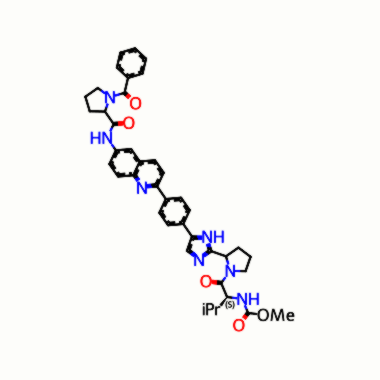 COC(=O)N[C@H](C(=O)N1CCCC1c1ncc(-c2ccc(-c3ccc4cc(NC(=O)C5CCCN5C(=O)c5ccccc5)ccc4n3)cc2)[nH]1)C(C)C